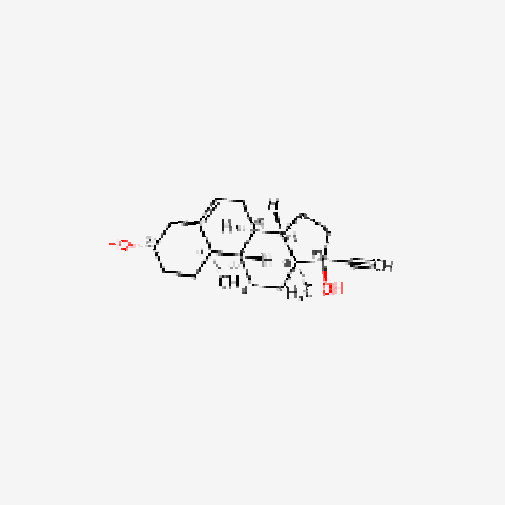 C#C[C@@]1(O)CC[C@H]2[C@@H]3CC=C4C[C@@H](O)CC[C@]4(C)[C@H]3CC[C@@]21C